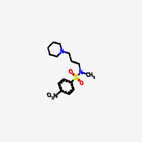 CN(CCCN1CCCCC1)S(=O)(=O)c1ccc([N+](=O)[O-])cc1